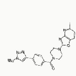 Cc1ccc2oc(N3CCN(C(=O)c4ccc(-c5cn(C(C)(C)C)nn5)cc4)CC3)nc2n1